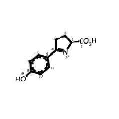 O=C(O)[C@@H]1CCC(c2ccc(O)cc2)=N1